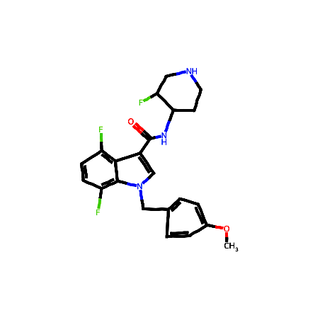 COc1ccc(Cn2cc(C(=O)NC3CCNCC3F)c3c(F)ccc(F)c32)cc1